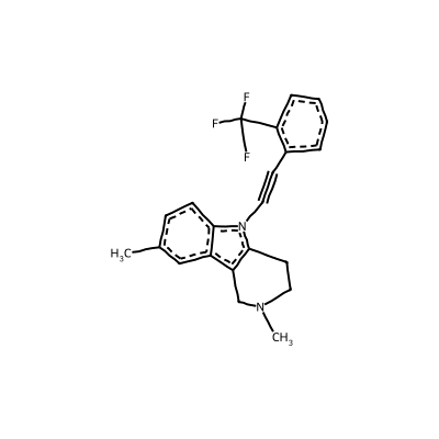 Cc1ccc2c(c1)c1c(n2C#Cc2ccccc2C(F)(F)F)CCN(C)C1